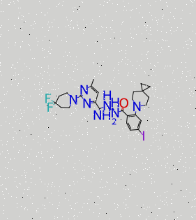 Cc1cc(C(N)NNC(=O)c2ccc(I)cc2N2CCC3(CC2)CC3)nc(N2CCC(F)(F)CC2)n1